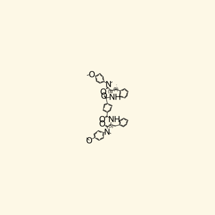 COc1ccc(N(C)C(=O)[C@H](Cc2ccccc2)NC(=O)c2ccc(C(=O)N[C@H](C(=O)N(C)c3ccc(OC)cc3)[C@H](C)c3ccccc3)cc2)cc1